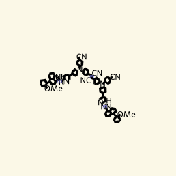 COc1ccccc1-c1ccc2c3c(cccc13)/C(=N/c1ccc(-c3ccc(N(c4ccc(C#N)cc4)c4ccc(/C(C#N)=C(\C#N)c5ccc(N(c6ccc(C#N)cc6)c6ccc(-c7ccc(/N=C8\Nc9cccc%10c(-c%11ccccc%11OC)ccc8c9%10)nc7)cc6)cc5)cc4)cc3)cn1)N2